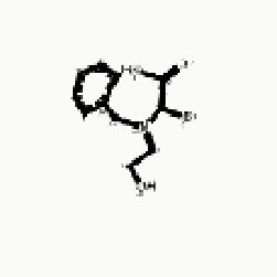 CCC(C)C1C(=O)Nc2ccccc2CN1CCO